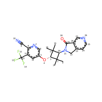 CC1(C)[C@H](Oc2cnc(C#N)c(C(F)(F)F)c2)C(C)(C)[C@H]1N1Cc2ccncc2C1=O